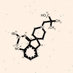 CC(C)(CN1CCC2(CC1)Cc1cccc(C#N)c1C2=N[S+]([O-])C(C)(C)C)C(=O)O